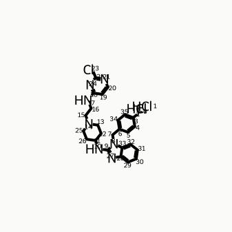 Cl.Cl.Fc1ccc(Cn2c(NC3CCN(CCNc4ccnc(Cl)n4)CC3)nc3ccccc32)cc1